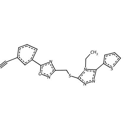 CCn1c(SCc2noc(-c3cccc(C#N)c3)n2)nnc1-c1cccs1